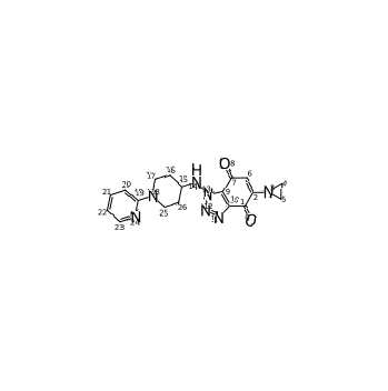 O=C1C(N2CC2)=CC(=O)c2c1nnn2NC1CCN(c2ccccn2)CC1